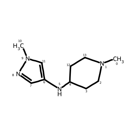 CN1CCC(Nc2cnn(C)c2)CC1